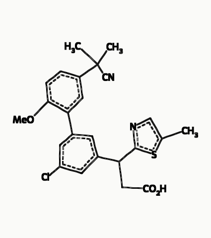 COc1ccc(C(C)(C)C#N)cc1-c1cc(Cl)cc(C(CC(=O)O)c2ncc(C)s2)c1